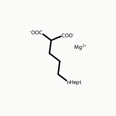 CCCCCCCCCCC(C(=O)[O-])C(=O)[O-].[Mg+2]